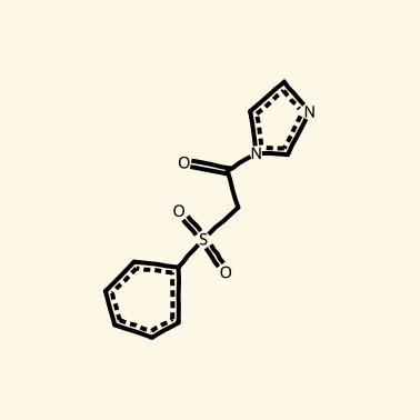 O=C(CS(=O)(=O)c1ccccc1)n1ccnc1